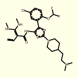 C=CC(C(=O)Nc1sc(N2CCC(CCN(C)C)CC2)nc1-c1cc(Cl)ccc1OC(F)F)=C(NC)NC